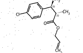 C=CCOC(=O)[C@@H](C)[C@H](N)c1ccc(Cl)cc1